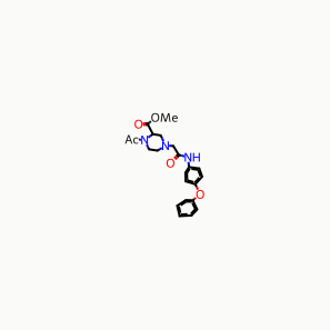 COC(=O)C1CN(CC(=O)Nc2ccc(Oc3ccccc3)cc2)CCN1C(C)=O